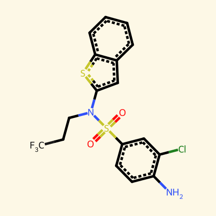 Nc1ccc(S(=O)(=O)N(CCC(F)(F)F)c2cc3ccccc3s2)cc1Cl